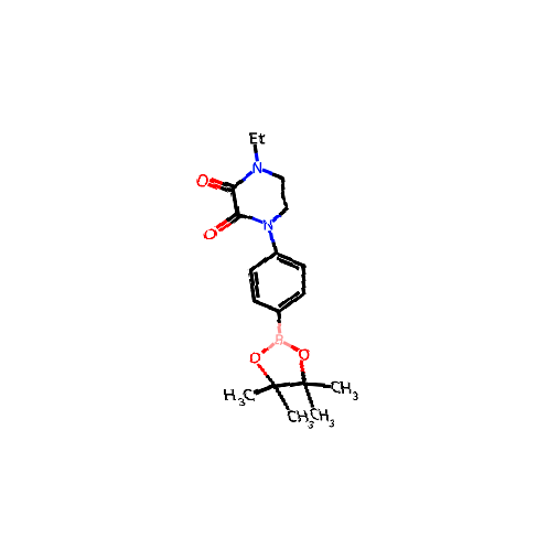 CCN1CCN(c2ccc(B3OC(C)(C)C(C)(C)O3)cc2)C(=O)C1=O